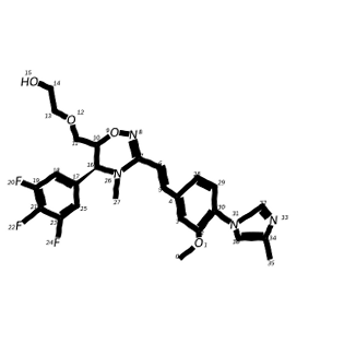 COc1cc(/C=C/C2=NOC(COCCO)[C@H](c3cc(F)c(F)c(F)c3)N2C)ccc1-n1cnc(C)c1